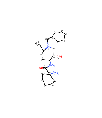 C[C@@H]1CC[C@H](NC(=O)C2(N)CCCCC2)[C@@H](O)CN1CC1CCCCC1